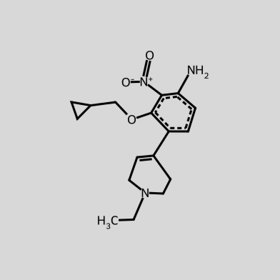 CCN1CC=C(c2ccc(N)c([N+](=O)[O-])c2OCC2CC2)CC1